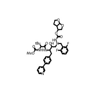 COC(=O)NC(C(=O)NC(Cc1ccc(-c2cccnc2)cc1)C(O)CN(Cc1c(F)cccc1F)NC(=O)OC1COC2OCCC12)C(C)(C)C